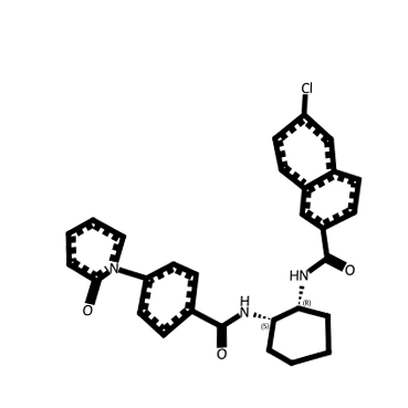 O=C(N[C@H]1CCCC[C@H]1NC(=O)c1ccc2cc(Cl)ccc2c1)c1ccc(-n2ccccc2=O)cc1